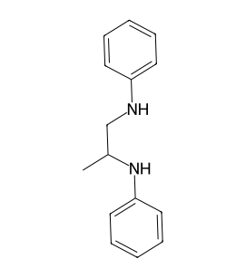 CC(CNc1ccccc1)Nc1ccccc1